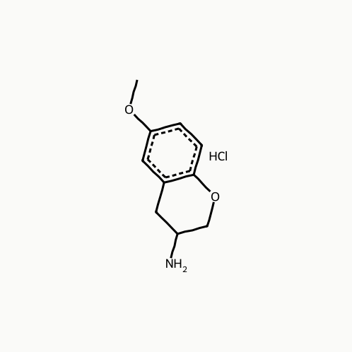 COc1ccc2c(c1)CC(N)CO2.Cl